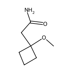 COC1(CC(N)=O)CCC1